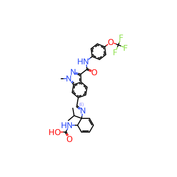 CC(C)C1(/N=C/c2ccc3c(C(=O)Nc4ccc(OC(F)(F)F)cc4)nn(C)c3c2)C=CC=CC1NC(=O)O